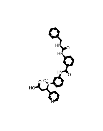 O=C(O)CC(c1cccnc1)[S+]([O-])c1cccc(NC(=O)c2cccc(NC(=O)NCc3ccccc3)c2)c1